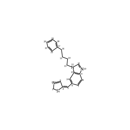 C1=NCSC1=Cc1ccc2ncn(CCCCc3ccccc3)c2c1